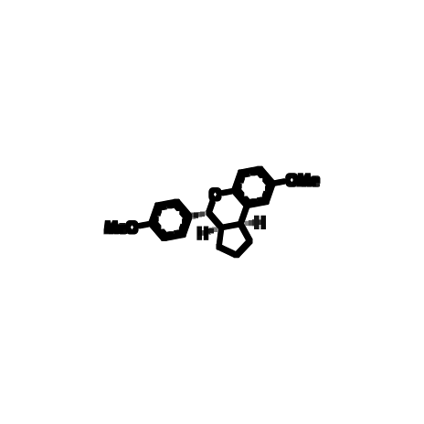 COc1ccc([C@@H]2Oc3ccc(OC)cc3[C@H]3CCC[C@H]32)cc1